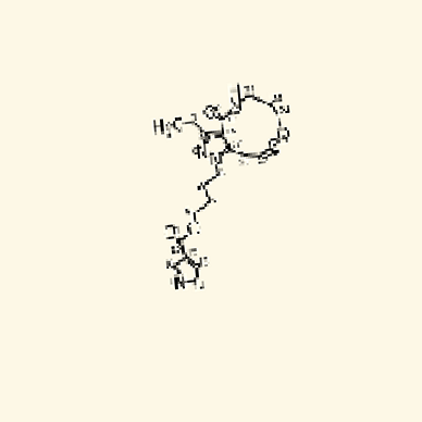 CCc1nn(CCCCOC(=O)C2=CCN=C2)c2c1C(=O)NCCCOCCC2